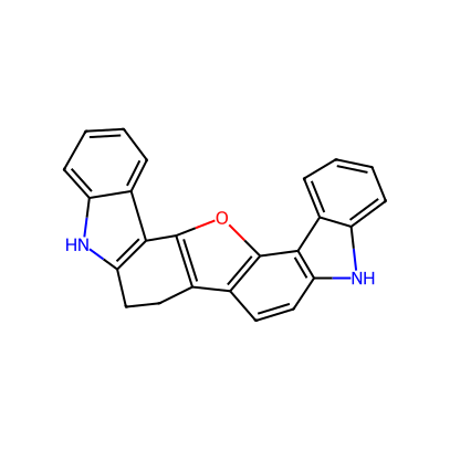 c1ccc2c3c([nH]c2c1)CCc1c-3oc2c1ccc1[nH]c3ccccc3c12